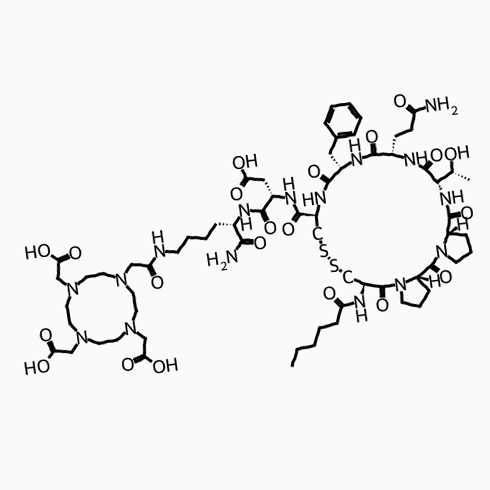 CCCCCC(=O)N[C@H]1CSSC[C@@H](C(=O)N[C@@H](CC(=O)O)C(=O)N[C@@H](CCCCNC(=O)CN2CCN(CC(=O)O)CCN(CC(=O)O)CCN(CC(=O)O)CC2)C(N)=O)NC(=O)[C@H](Cc2ccccc2)NC(=O)[C@H](CCC(N)=O)NC(=O)[C@H]([C@@H](C)O)NC(=O)[C@@H]2CCCN2C(=O)[C@@H]2CCCN2C1=O